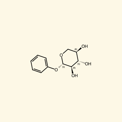 O[C@@H]1[C@@H](O)[C@H](Oc2ccccc2)OC[C@H]1O